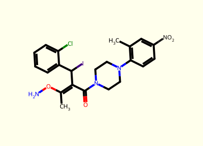 C/C(ON)=C(\C(=O)N1CCN(c2ccc([N+](=O)[O-])cc2C)CC1)C(I)c1ccccc1Cl